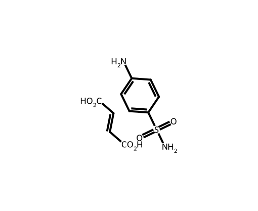 Nc1ccc(S(N)(=O)=O)cc1.O=C(O)C=CC(=O)O